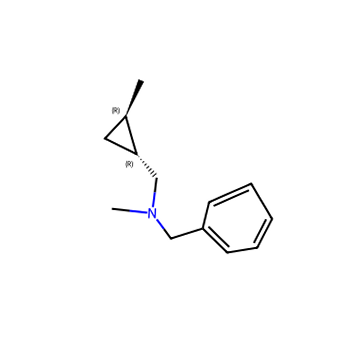 C[C@@H]1C[C@H]1CN(C)Cc1ccccc1